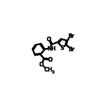 COC(=O)c1ccccc1NC(=O)c1cc(Br)c(Br)s1